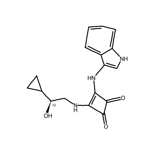 O=c1c(NC[C@@H](O)C2CC2)c(Nc2c[nH]c3ccccc23)c1=O